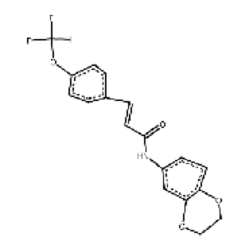 O=C(/C=C/c1ccc(OC(F)(F)F)cc1)Nc1ccc2c(c1)OCCO2